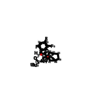 CC(C)(C)[S@+]([O-])N[C@H](Cc1cc(F)c(F)cc1F)C1CC2CCC(C1)N2C(=O)C(N)=O